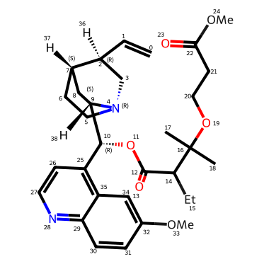 C=C[C@H]1C[N@]2CC[C@H]1C[C@H]2[C@H](OC(=O)C(CC)C(C)(C)OCCC(=O)OC)c1ccnc2ccc(OC)cc12